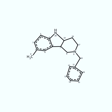 Cc1ccc2c(c1)C1CN(Cc3ccccc3)CCC1N2